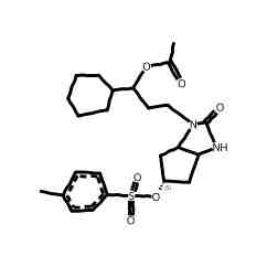 CC(=O)OC(CCN1C(=O)NC2C[C@H](OS(=O)(=O)c3ccc(C)cc3)CC21)C1CCCCC1